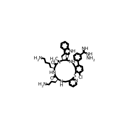 CN1C(=O)[C@H](CCCCN)NC(=O)[C@H](CCCN)NCc2cccnc2Sc2c(Cl)ccc(-c3cccc(C(=N)NN)c3)c2CNC(=O)[C@@H]1Cc1c[nH]c2ccccc12